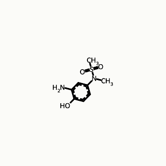 CN(c1ccc(O)c(N)c1)S(C)(=O)=O